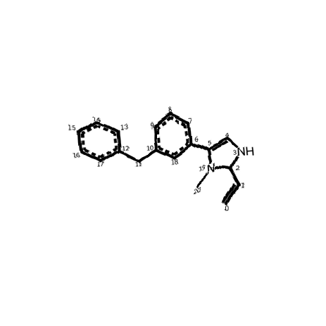 C=CC1NC=C(c2cccc(Cc3ccccc3)c2)N1C